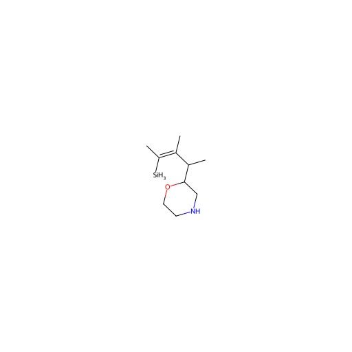 CC([SiH3])=C(C)C(C)C1CNCCO1